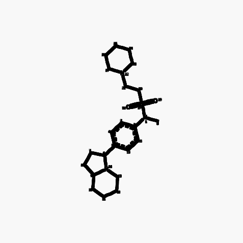 CN(c1ccc(C2CCC3CCCCN32)cc1)S(=O)(=O)CCN1CCCCC1